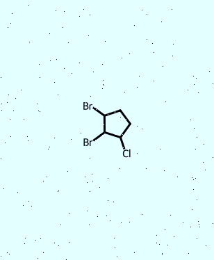 ClC1CCC(Br)C1Br